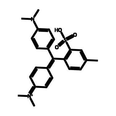 Cc1ccc(C(=C2C=CC(=[N+](C)C)C=C2)c2ccc(N(C)C)cc2)c(S(=O)(=O)O)c1